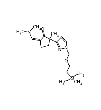 CN(C)C=C1CCC(C)(c2ccn(COCC[Si](C)(C)C)n2)C1=O